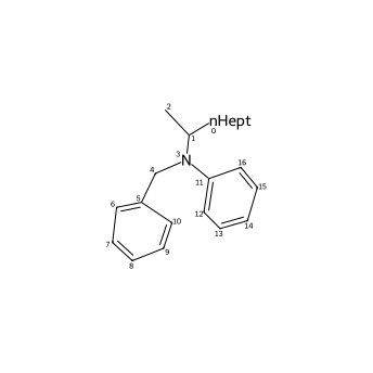 CCCCCCCC(C)N(Cc1ccccc1)c1ccccc1